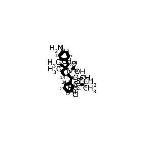 CC(C)(C)C1(Cc2ccc(N)cc2)CC[C@H]([C@H](O[Si](C)(C)C(C)(C)C)c2cccc(Cl)c2)N1C(=O)O